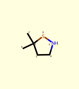 CC1(C)CCNS1